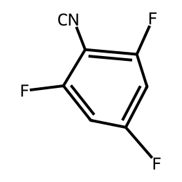 [C-]#[N+]c1c(F)cc(F)cc1F